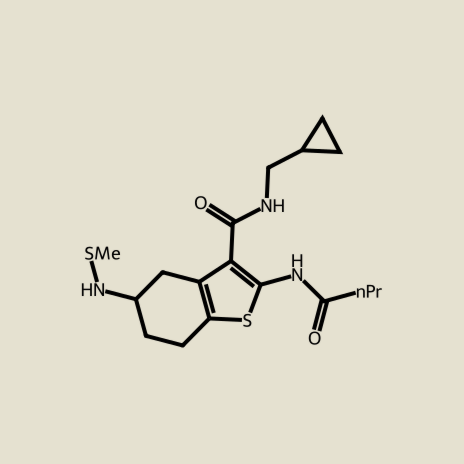 CCCC(=O)Nc1sc2c(c1C(=O)NCC1CC1)CC(NSC)CC2